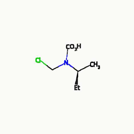 CC[C@H](C)N(CCl)C(=O)O